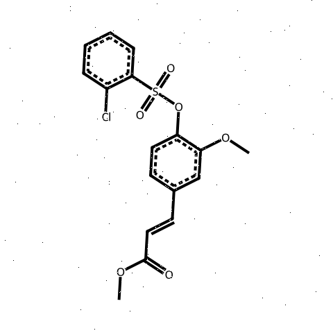 COC(=O)C=Cc1ccc(OS(=O)(=O)c2ccccc2Cl)c(OC)c1